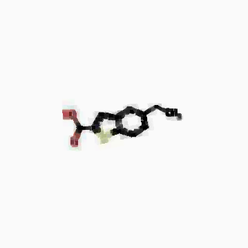 CCc1ccc2sc(C(=O)O)cc2c1